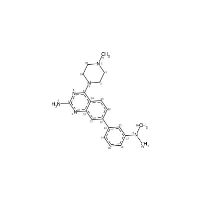 CN1CCN(c2nc(N)nc3cc(-c4cccc(N(C)C)c4)ccc23)CC1